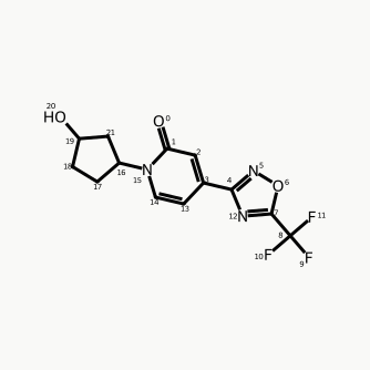 O=c1cc(-c2noc(C(F)(F)F)n2)ccn1C1CCC(O)C1